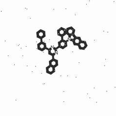 c1ccc(-c2cccc(-c3cc(-c4ccc5ccccc5c4)nc(-c4ccc(-n5c6ccccc6c6cc7ccccc7cc65)c(-c5ccccc5)c4)n3)c2)cc1